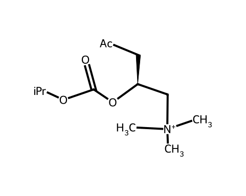 CC(=O)C[C@@H](C[N+](C)(C)C)OC(=O)OC(C)C